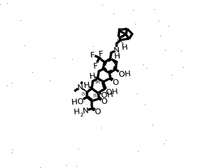 CN(C)[C@@H]1C(O)=C(C(N)=O)C(=O)[C@@]2(O)C(O)=C3C(=O)c4c(O)cc(CNC[C@H]5CCC6CC5C6(C)C)c(C(F)(F)F)c4C[C@H]3C[C@@H]12